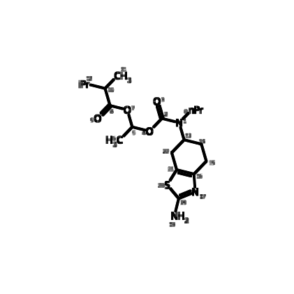 CCCN(C(=O)OC(C)OC(=O)C(C)C(C)C)C1CCc2nc(N)sc2C1